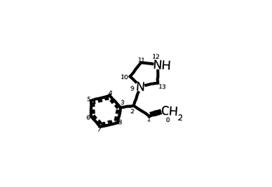 C=C[C](c1ccccc1)N1CCNC1